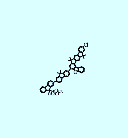 CCCCCCCCC1(CCCCCCCC)c2ccccc2-c2ccc(-c3ccc4c(c3)C(C)(C)c3cc(-c5cc6c(c7c5oc5ccccc57)-c5cc7c(cc5C6(C)C)-c5ccc(Cl)cc5C7(C)C)ccc3-4)cc21